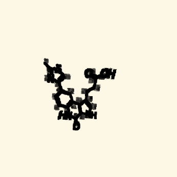 Cc1nc(-c2ccc3[nH]c(=O)c4[nH]cc(CCC(=O)O)c4c3c2)cs1